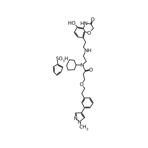 Cn1cc(-c2cccc(CCOCCC(=O)N(CCNCCc3ccc(O)c4c3OCC(=O)N4)C3CCCCC3)c2)cn1.O=S(=O)(O)c1ccccc1